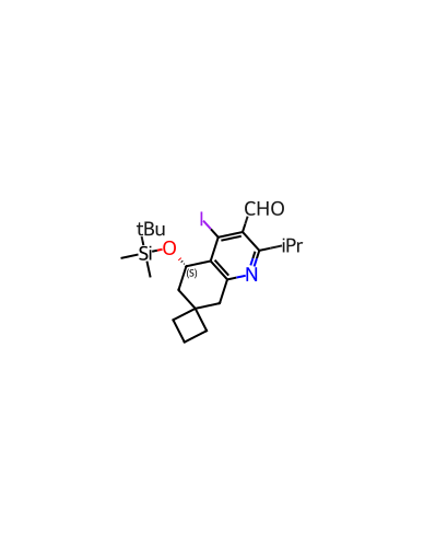 CC(C)c1nc2c(c(I)c1C=O)[C@@H](O[Si](C)(C)C(C)(C)C)CC1(CCC1)C2